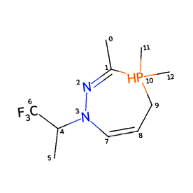 CC1=NN(C(C)C(F)(F)F)C=CC[PH]1(C)C